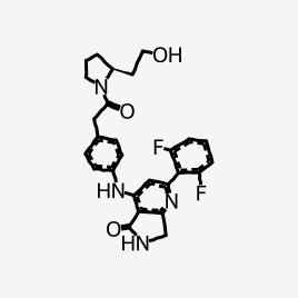 O=C1NCc2nc(-c3c(F)cccc3F)cc(Nc3ccc(CC(=O)N4CCC[C@H]4CCO)cc3)c21